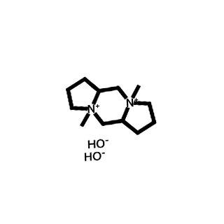 C[N+]12CCCC1C[N+]1(C)CCCC1C2.[OH-].[OH-]